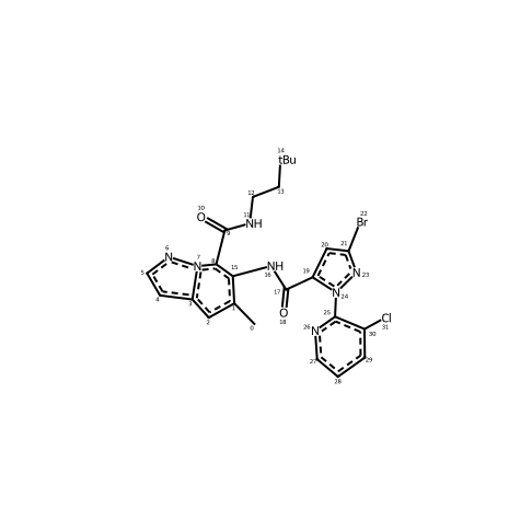 Cc1cc2ccnn2c(C(=O)NCCC(C)(C)C)c1NC(=O)c1cc(Br)nn1-c1ncccc1Cl